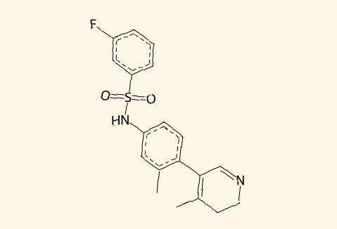 CC1=C(c2ccc(NS(=O)(=O)c3cccc(F)c3)cc2C)C=NCC1